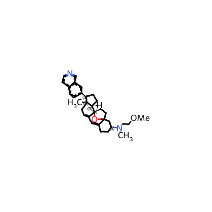 COCCN(C)[C@H]1CCC2=CC3=CC[C@]4(C)[C@@H](c5ccc6ccncc6c5)CC[C@H]4[C@@]34CCC2(C1)O4